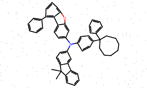 CC1(C)c2ccccc2-c2cc(N(c3ccc(C4(c5ccccc5)CCCCCCC4)cc3)c3ccc4c(c3)oc3cccc(-c5ccccc5)c34)ccc21